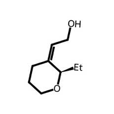 CC[C@H]1OCCCC1=CCO